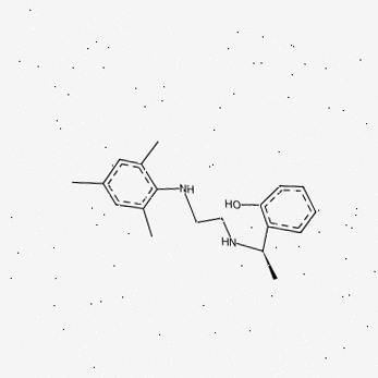 Cc1cc(C)c(NCCN[C@H](C)c2ccccc2O)c(C)c1